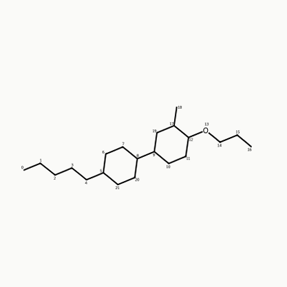 CCCCCC1CCC(C2CCC(OCCC)C(C)C2)CC1